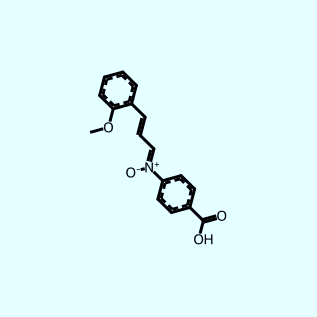 COc1ccccc1C=CC=[N+]([O-])c1ccc(C(=O)O)cc1